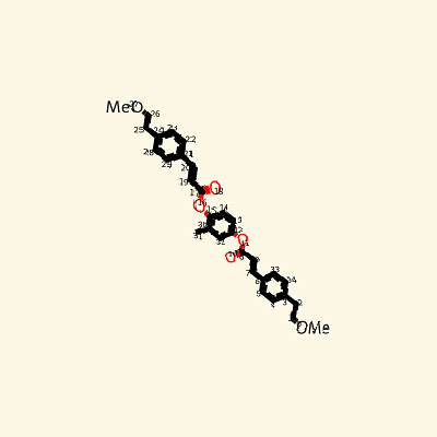 COCCc1ccc(/C=C/C(=O)Oc2ccc(OC(=O)/C=C/c3ccc(CCOC)cc3)c(C)c2)cc1